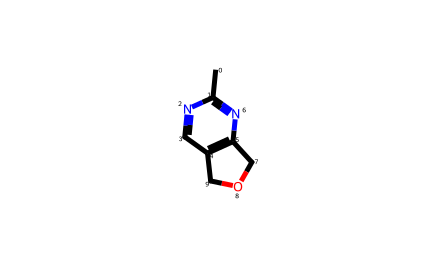 Cc1ncc2c(n1)COC2